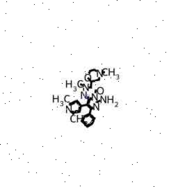 Cc1cc(-c2c(-c3ccccc3)nc(N)n(C=O)/c2=N\N(C)CC2CN(C)CCO2)cc(C)n1